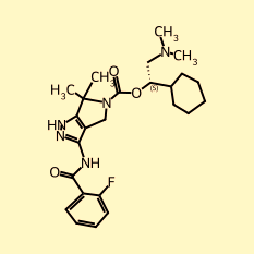 CN(C)C[C@@H](OC(=O)N1Cc2c(NC(=O)c3ccccc3F)n[nH]c2C1(C)C)C1CCCCC1